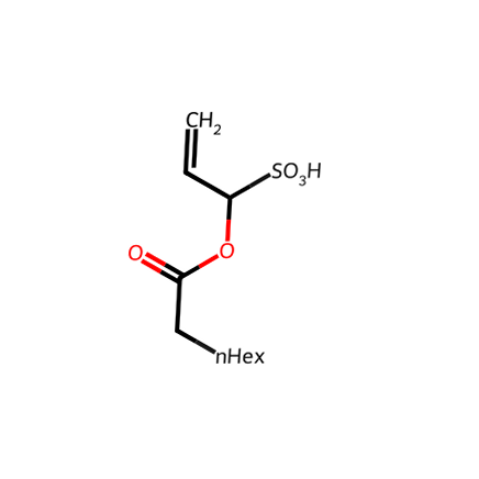 C=CC(OC(=O)CCCCCCC)S(=O)(=O)O